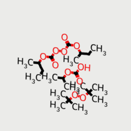 CC(C)(C)OOC(C)(C)C.CC(C)OC(=O)O.CCC(C)OC(=O)OOC(=O)OC(C)CC